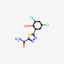 NC(=O)c1nnc(-c2cc(Cl)cc(Cl)c2O)s1